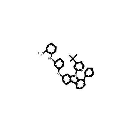 CC(C)(C)c1ccnc(-n2c3cc(Oc4cccc(Nc5ccccc5N)c4)ccc3c3cccc(-c4ccccc4)c32)c1